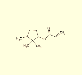 C=CC(=O)OC1CCC(C)C1(C)C